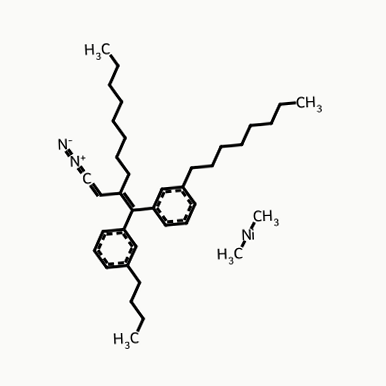 CCCCCCCCC(C=C=[N+]=[N-])=C(c1cccc(CCCC)c1)c1cccc(CCCCCCCC)c1.[CH3][Ni][CH3]